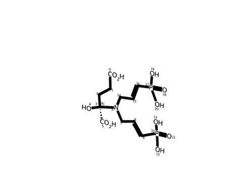 O=C(O)CC[C@@](O)(C(=O)O)N(CC=CP(=O)(O)O)CC=CP(=O)(O)O